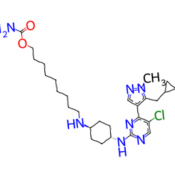 Cn1ncc(-c2nc(N[C@H]3CC[C@H](NCCCCCCCCCOC(N)=O)CC3)ncc2Cl)c1CC1CC1